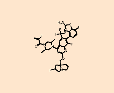 C=C(F)C(=O)N1CC(C)N(c2nc(OCC34CCCN3CC(F)C4)nc3c(F)c(-c4ccc(F)c5sc(N)nc45)c(C(F)(F)F)cc23)CC1C